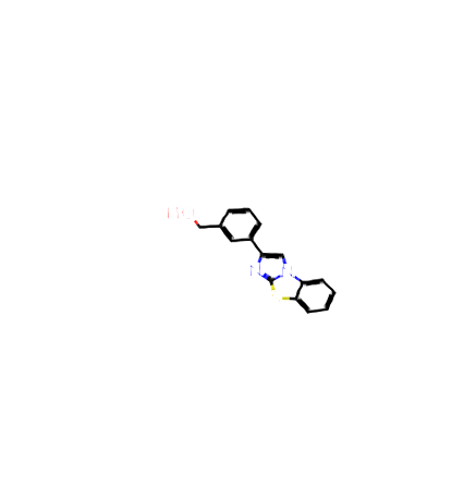 OCc1cccc(-c2cn3c(n2)sc2ccccc23)c1